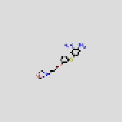 Nc1ccc(Sc2cccc(OCCCCN3CCOCC3)c2)cc1N